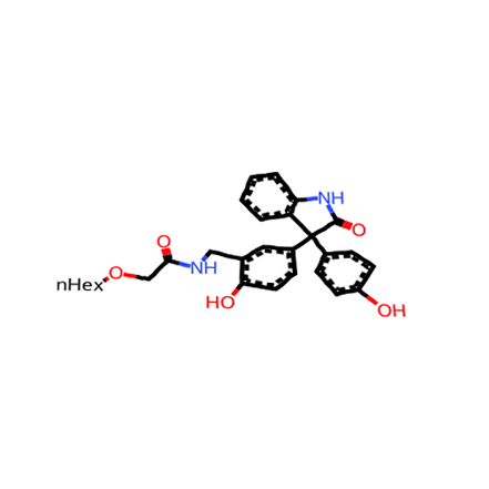 CCCCCCOCC(=O)NCc1cc(C2(c3ccc(O)cc3)C(=O)Nc3ccccc32)ccc1O